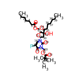 CCCCCCC(=O)OC[C@H]1O[C@@H](n2cc(F)c(=O)n(COC(=O)C(C)(C)C)c2=O)C[C@@]1(O)C(=O)CCCCCC